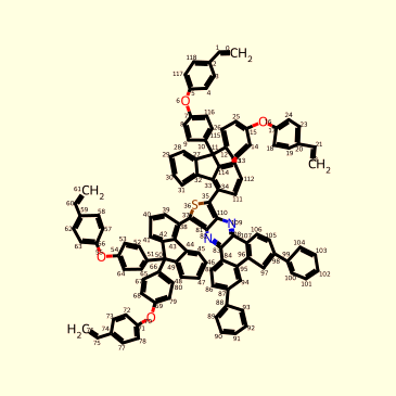 C=Cc1ccc(Oc2ccc(C3(c4ccc(Oc5ccc(C=C)cc5)cc4)c4ccccc4-c4c(-c5sc(-c6cccc7c6-c6ccccc6C7(c6ccc(Oc7ccc(C=C)cc7)cc6)c6ccc(Oc7ccc(C=C)cc7)cc6)c6nc7c8ccc(-c9ccccc9)cc8c8cc(-c9ccccc9)ccc8c7nc56)cccc43)cc2)cc1